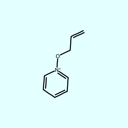 C=CCO[n+]1ccccc1